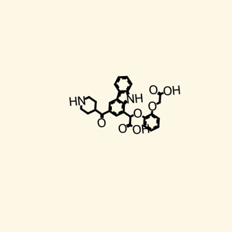 O=C(O)COc1ccccc1OC(C(=O)O)c1cc(C(=O)C2CCNCC2)cc2c1[nH]c1ccccc12